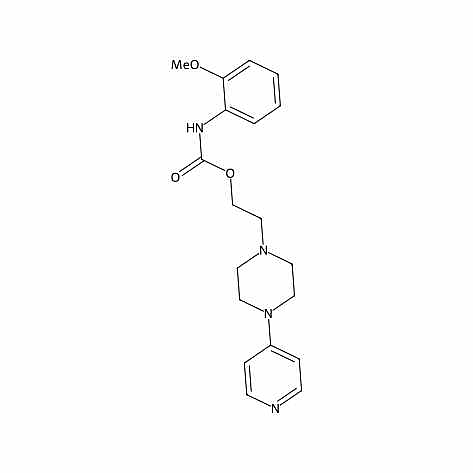 COc1ccccc1NC(=O)OCCN1CCN(c2ccncc2)CC1